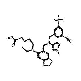 [C-]#[N+]c1cc(CN(Cc2cc3c(cc2N(CC)CCCCC(=O)O)CCC3)c2ccn(C)n2)cc(C(F)(F)F)c1